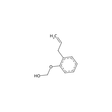 C=CCc1ccccc1OCO